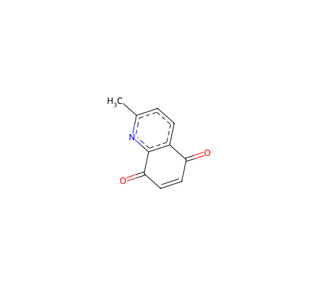 Cc1ccc2c(n1)C(=O)C=CC2=O